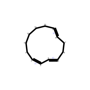 [CH]1C/C=C\C=C\CC/C=C/CCC1